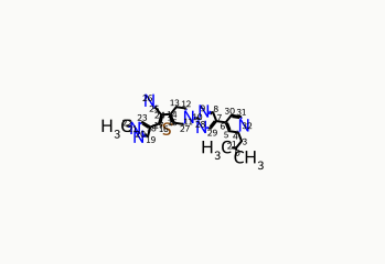 CC(C)Cc1cc(-c2cnc(N3CCc4c(sc(-c5cnn(C)c5)c4C#N)C3)nc2)ccn1